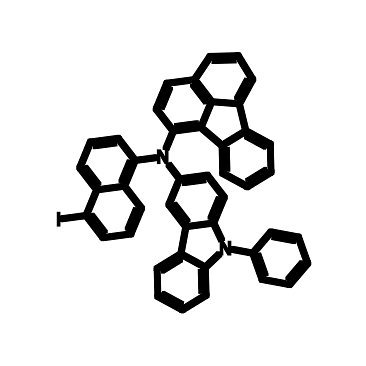 Ic1cccc2c(N(c3ccc4c(c3)c3ccccc3n4-c3ccccc3)c3ccc4cccc5c4c3-c3ccccc3-5)cccc12